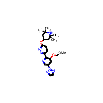 COCOc1cc(-n2nccn2)cnc1-c1ccc(OC2CC(C)(C)NC(C)(C)C2)nn1